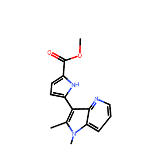 COC(=O)c1ccc(-c2c(C)n(C)c3cccnc23)[nH]1